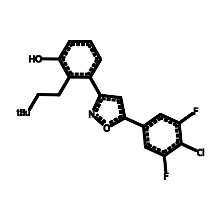 CC(C)(C)CCc1c(O)cccc1-c1cc(-c2cc(F)c(Cl)c(F)c2)on1